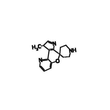 CC1C=NC2=C1c1ncccc1OC21CCNCC1